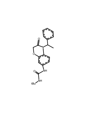 CC(c1ccccc1)N1C(=O)COc2cc(NC(=O)NC(C)(C)C)ccc21